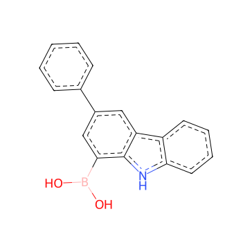 OB(O)c1cc(-c2ccccc2)cc2c1[nH]c1ccccc12